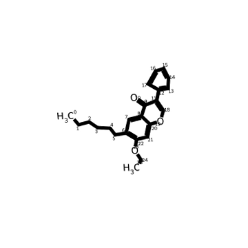 CCCCCCc1cc2c(=O)c(-c3ccccc3)coc2cc1OCC